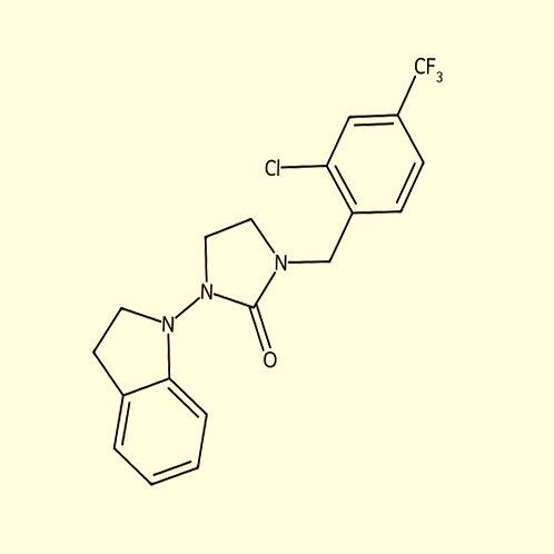 O=C1N(Cc2ccc(C(F)(F)F)cc2Cl)CCN1N1CCc2ccccc21